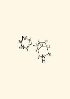 C1=C(c2cncnc2)C2CNCC(C1)C2